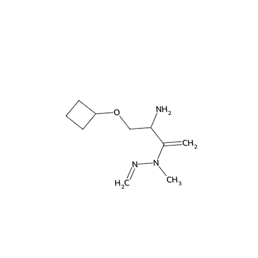 C=NN(C)C(=C)C(N)COC1CCC1